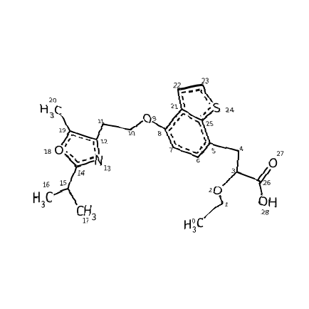 CCOC(Cc1ccc(OCCc2nc(C(C)C)oc2C)c2ccsc12)C(=O)O